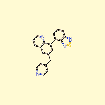 c1cnc2c(-c3cccc4nsnc34)cc(Cc3ccncc3)cc2c1